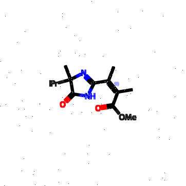 COC(=O)/C(C)=C(/C)C1=NC(C)(C(C)C)C(=O)N1